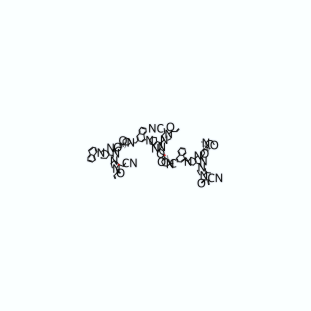 C=CC(=O)N1CCN(c2nc(OC[C@@H]3CN(Cc4cc(N5CCc6c(nc(OC[C@@H]7COCCN7C)nc6N6CCN(C(=O)C=C)C(CC#N)C6)C5)c5ccccc5c4)CCO3)nc3c2CCN(c2cc(CN4CCO[C@@H](COc5nc6c(c(N7CCN(C(=O)C=C)C(CC#N)C7)n5)CCN(c5cccc7ccccc57)C6)C4)cc4ccccc24)C3)CC1CC#N